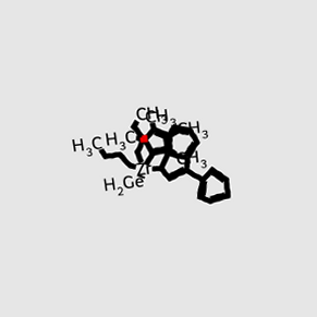 CCC[CH2][Zr](=[GeH2])([CH2]CCC)([C]1=C(C)C(C)=C(C)C1C)[CH]1C=C(c2ccccc2)c2ccccc21